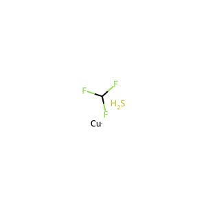 FC(F)F.S.[Cu]